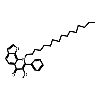 CCCCCCCCCCCCCCCCn1c(-c2ccccc2)c(OC)c(=O)c2ccc3ccoc3c21